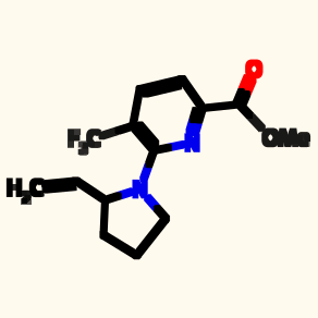 C=CC1CCCN1c1nc(C(=O)OC)ccc1C(F)(F)F